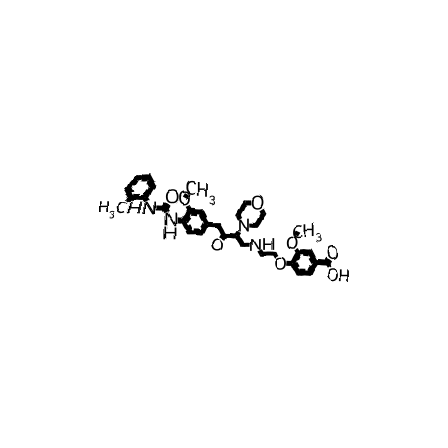 COc1cc(CC(=O)C(CNCCOc2ccc(C(=O)O)cc2OC)N2CCOCC2)ccc1NC(=O)Nc1ccccc1C